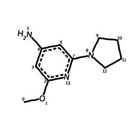 COc1cc(N)cc(N2CCCC2)n1